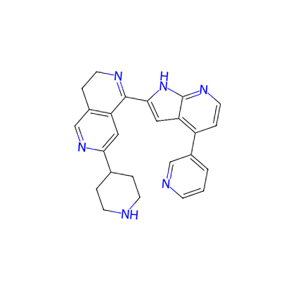 c1cncc(-c2ccnc3[nH]c(C4=NCCc5cnc(C6CCNCC6)cc54)cc23)c1